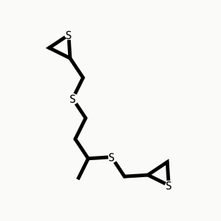 CC(CCSCC1CS1)SCC1CS1